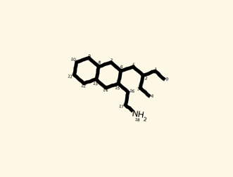 CCC(CC)CC1CC2CCCCC2CC1CCN